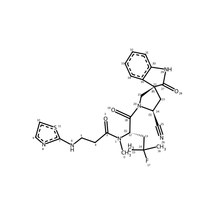 CN(C(=O)CCNc1nccs1)[C@@H](CC(C)(C)F)C(=O)N1C[C@]2(C[C@H]1C#N)C(=O)Nc1ccccc12